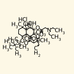 C=C[C@@]1(C)CC(=O)[C@]2(O)[C@@]3(C)[C@@H](O[Si](C)(C)C(C)(C)C)CCC(C)(C)[C@@H]3[C@H](O)[C@H](OC(=O)CN(CC)CC)[C@@]2(C)O1.Cl